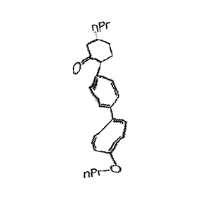 CCCOc1ccc(-c2ccc([C@@H]3CC[C@@H](CCC)CC3=O)cc2)cc1